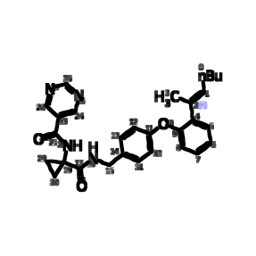 CCCC/C=C(\C)c1ccccc1Oc1ccc(CNC(=O)C2(NC(=O)c3cncnc3)CC2)cc1